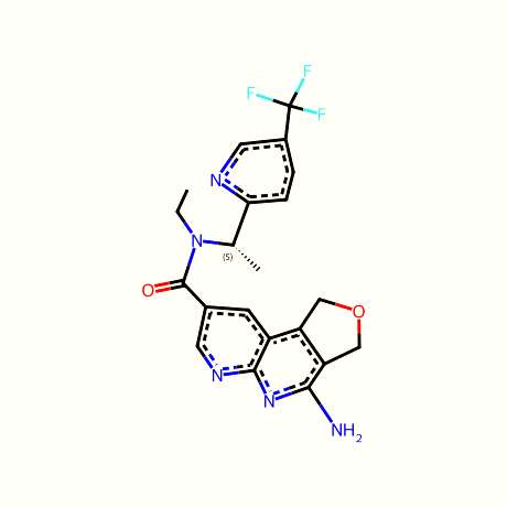 CCN(C(=O)c1cnc2nc(N)c3c(c2c1)COC3)[C@@H](C)c1ccc(C(F)(F)F)cn1